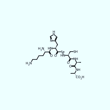 C[C@H](NC(=O)[C@H](C)NC(=O)[C@H](CS)N[Se]C(=O)[C@H](Cc1c[nH]cn1)NC(=O)[C@@H](N)CCCCN)C(=O)O